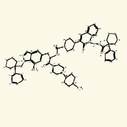 Cc1cc(C[C@@H](NC(=O)N2CCC(c3cc4ccccc4n(COC(=O)C4(c5ccccc5)CCCCC4)c3=O)CC2)C(=O)N2CCN(C3CCN(C)CC3)CC2)cc2cnn(CC3(c4ccccc4)CCCCC3)c12